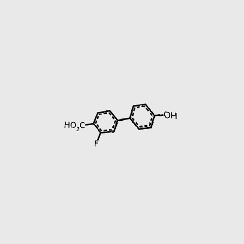 O=C(O)c1ccc(-c2ccc(O)cc2)cc1F